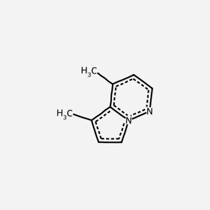 Cc1ccnn2ccc(C)c12